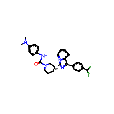 CN(C)c1ccc(NC(=O)N2CCC[C@@H](c3nc(-c4ccc(C(F)F)cc4)c4ccccn34)C2)cc1